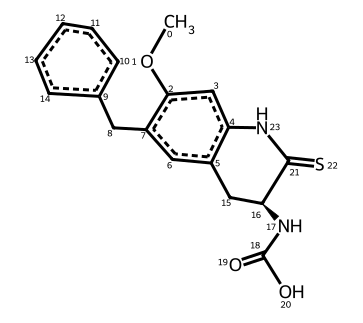 COc1cc2c(cc1Cc1ccccc1)C[C@H](NC(=O)O)C(=S)N2